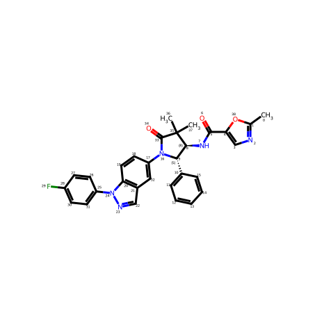 Cc1ncc(C(=O)N[C@H]2[C@H](c3ccccc3)N(c3ccc4c(cnn4-c4ccc(F)cc4)c3)C(=O)C2(C)C)o1